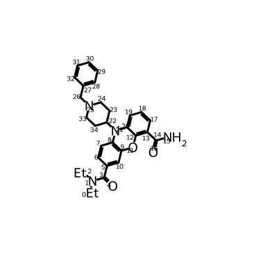 CCN(CC)C(=O)c1ccc2c(c1)Oc1c(C(N)=O)cccc1N2C1CCN(Cc2ccccc2)CC1